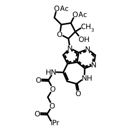 CC(=O)OCC1OC(n2cc3c4c(ncnc42)NC(=O)C=C3NC(=O)OCOC(=O)C(C)C)C(C)(O)C1OC(C)=O